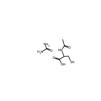 CC(=O)NC(CS)C(=O)O.NC(N)=O